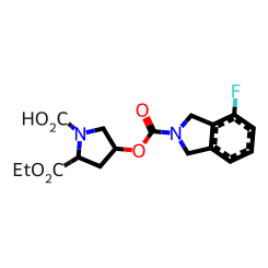 CCOC(=O)C1CC(OC(=O)N2Cc3cccc(F)c3C2)CN1C(=O)O